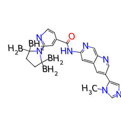 BC1(B)CCC(B)(B)N1c1cc(C(=O)Nc2cc3cc(-c4cncn4C)cnc3cn2)ccn1